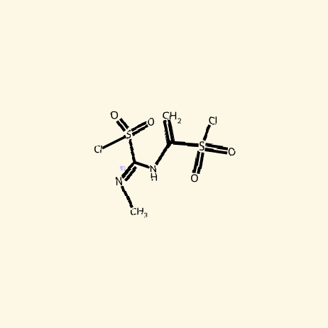 C=C(N/C(=N\C)S(=O)(=O)Cl)S(=O)(=O)Cl